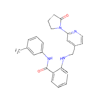 O=C(Nc1cccc(C(F)(F)F)c1)c1ccccc1NCc1ccnc(N2CCCC2=O)c1